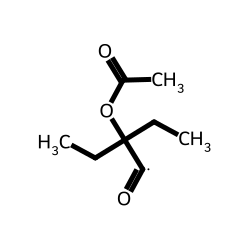 CCC([C]=O)(CC)OC(C)=O